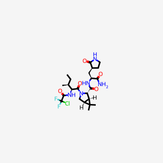 CC[C@H](C)[C@H](NC(=O)C(F)(F)Cl)C(=O)N1C[C@H]2[C@@H]([C@H]1C(=O)N[C@@H](C[C@@H]1CCNC1=O)C(N)=O)C2(C)C